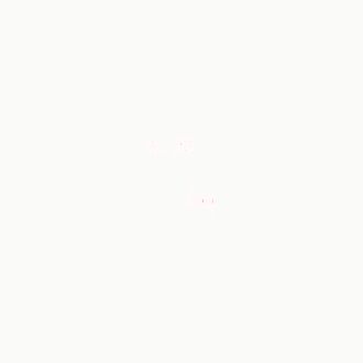 [CH2]COC(=O)C=COOC(C)(C)C